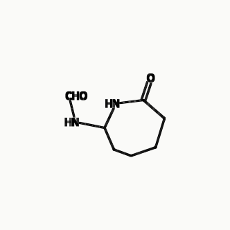 O=CNC1CCCCC(=O)N1